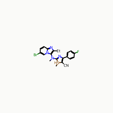 CCc1nc2ccc(Br)cn2c1N(C)C1=NC(c2ccc(F)cc2)=C(C#N)[SH]1C